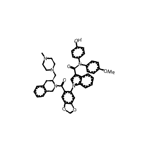 COc1ccc(N(C(=O)c2cn(-c3cc4c(cc3C(=O)N3Cc5ccccc5C[C@H]3CN3CCN(C)CC3)OCO4)c3ccccc23)c2ccc(O)cc2)cc1